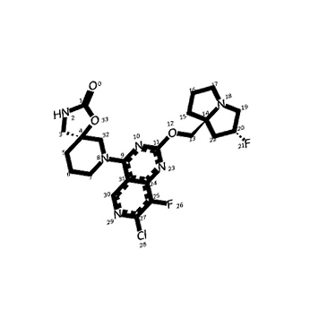 O=C1NC[C@]2(CCCN(c3nc(OC[C@@]45CCCN4C[C@H](F)C5)nc4c(F)c(Cl)ncc34)C2)O1